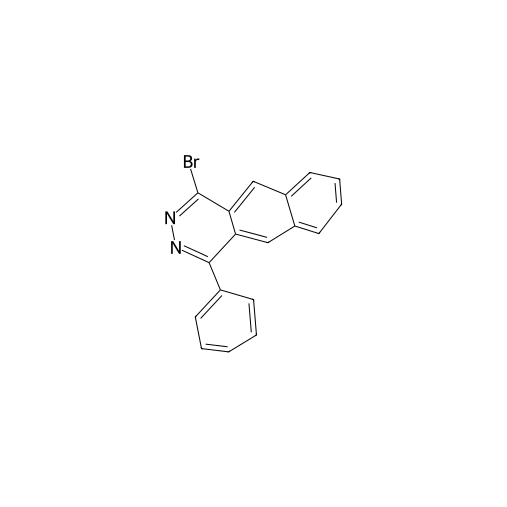 Brc1nnc(-c2ccccc2)c2cc3ccccc3cc12